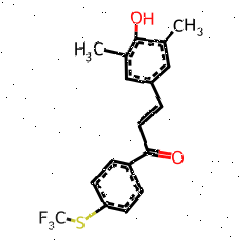 Cc1cc(C=CC(=O)c2ccc(SC(F)(F)F)cc2)cc(C)c1O